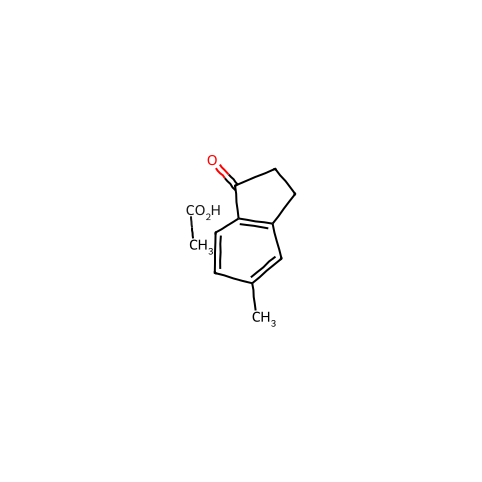 CC(=O)O.Cc1ccc2c(c1)CCC2=O